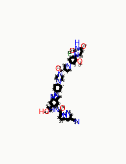 COc1cc(N2CC[C@@H](C(=O)N3CCN(C4CCC(n5cc6cc(NC(=O)c7ccc8cc(C#N)cnn78)c(C(C)(C)O)cc6n5)CC4)CC3)C2)cc(F)c1N1CCC(=O)NC1=O